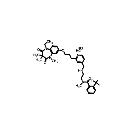 CCN1C(=O)C(C)(C)C(=O)N(C)c2cc(OCCCc3cc(CNCCN(C)C(=O)c4ccccc4C(F)(F)F)ccn3)ccc21.Cl.Cl